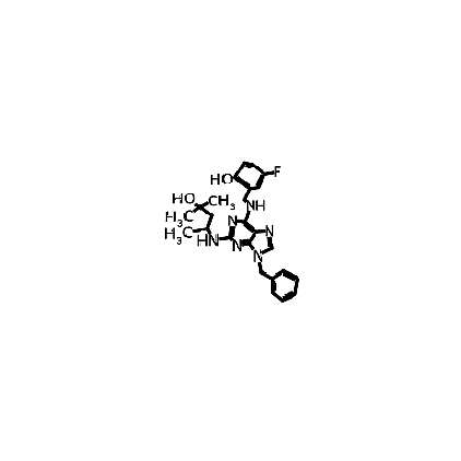 CC(CC(C)(C)O)Nc1nc(NCc2cc(F)ccc2O)c2ncn(Cc3ccccc3)c2n1